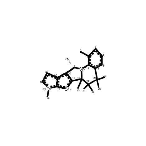 Cc1cccc2c1N1[C@@H](C)c3c(sc4c3ccn4C)C1(C)C(C)(C)C2(C)C